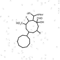 CCCCCCC(CCC)C1C(F)C(C(=O)O)CC(C2CCCCCCCC2)CC(F)CC1(O)C=O